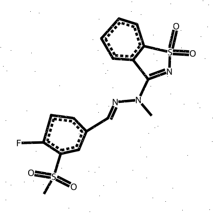 CN(/N=C/c1ccc(F)c(S(C)(=O)=O)c1)C1=NS(=O)(=O)c2ccccc21